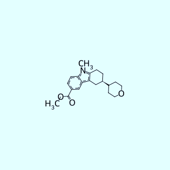 COC(=O)c1ccc2c(c1)c1c(n2C)CC[C@@H](C2CCOCC2)C1